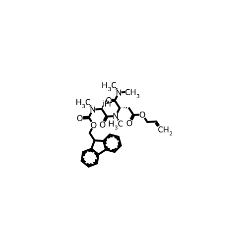 C=CCOC(=O)C[C@@H](C(=O)N(C)C)N(C)C(=O)[C@@H](C(C)C)N(C)C(=O)OCC1c2ccccc2-c2ccccc21